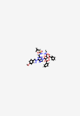 CCNC(=O)C1OC(n2cnc3c(NCc4ccc(OC)cc4)nc(CNS(=O)(=O)CC(C)C)nc32)C(OC(=O)c2ccccc2)C1OC(=O)c1ccccc1